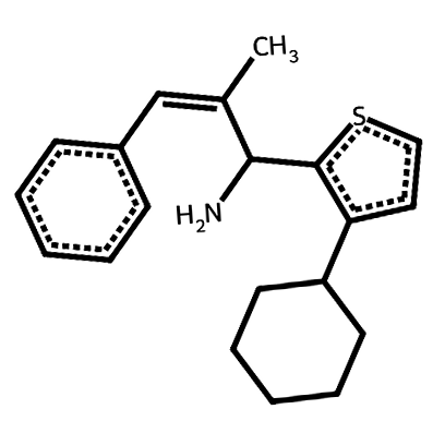 CC(=Cc1ccccc1)C(N)c1sccc1C1CCCCC1